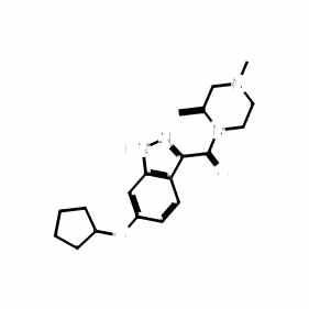 C=C1CN(C)CCN1C(=O)c1n[nH]c2cc(OC3CCCC3)ccc12